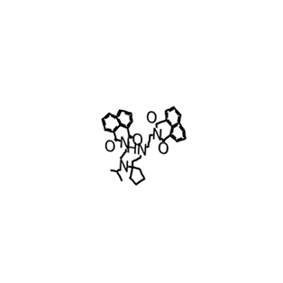 CC(C)N(CCN1C(=O)c2cccc3cccc(c23)C1=O)C1(CCNCCN2C(=O)c3cccc4cccc(c34)C2=O)CCCC1